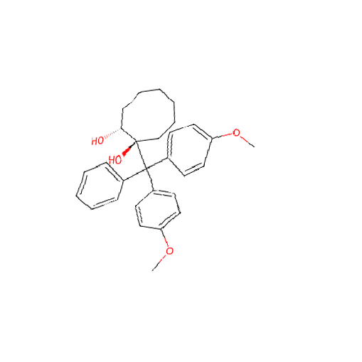 COc1ccc(C(c2ccccc2)(c2ccc(OC)cc2)[C@@]2(O)CCCCCC[C@H]2O)cc1